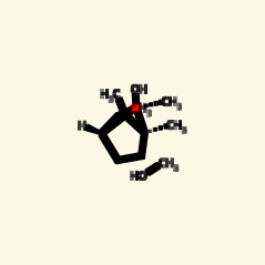 CC1(C)[C@@H]2CC[C@]1(C)[C@](C)(O)C2.CO